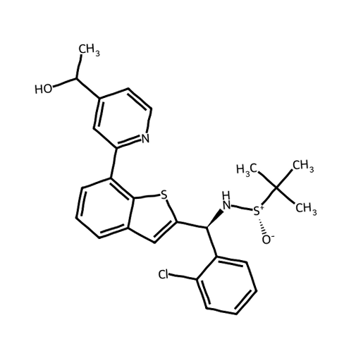 CC(O)c1ccnc(-c2cccc3cc([C@@H](N[S@@+]([O-])C(C)(C)C)c4ccccc4Cl)sc23)c1